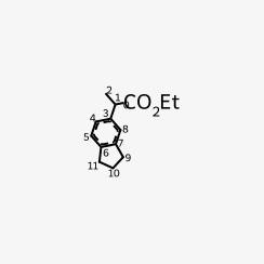 CCOC(=O)C(C)c1ccc2c(c1)CCC2